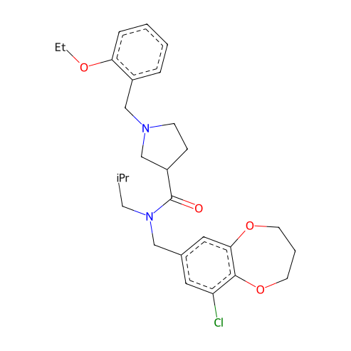 CCOc1ccccc1CN1CCC(C(=O)N(Cc2cc(Cl)c3c(c2)OCCCO3)CC(C)C)C1